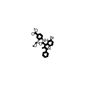 COCSc1cc(C(=O)OC)ccc1NC(=O)c1c(C)c(-c2ccccc2)nc2ccc(Br)cc12